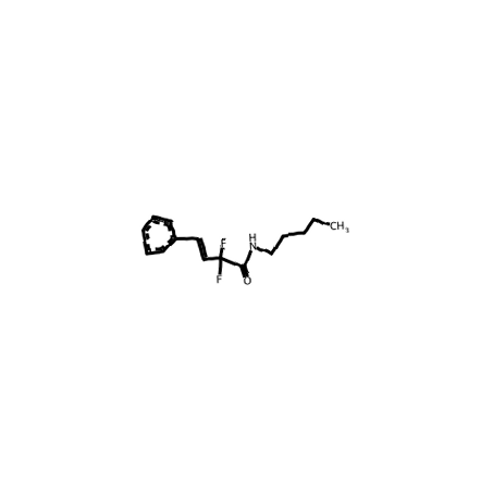 CCCCCNC(=O)C(F)(F)/C=C/c1ccccc1